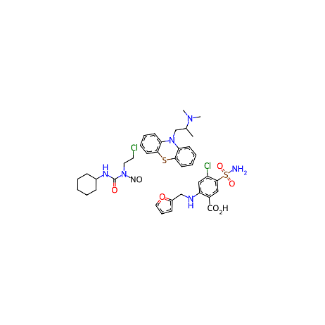 CC(CN1c2ccccc2Sc2ccccc21)N(C)C.NS(=O)(=O)c1cc(C(=O)O)c(NCc2ccco2)cc1Cl.O=NN(CCCl)C(=O)NC1CCCCC1